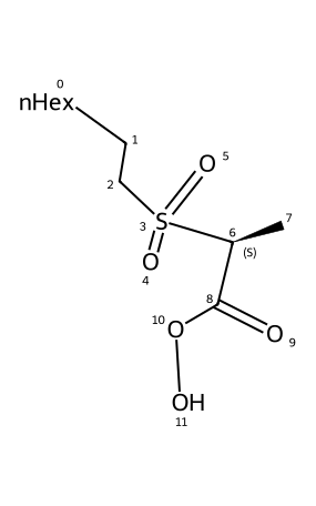 CCCCCCCCS(=O)(=O)[C@@H](C)C(=O)OO